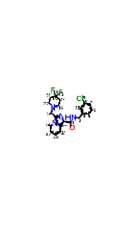 O=C(NCc1cccc(Cl)c1)c1nc(CN2CCC(F)(F)CC2)n2ccccc12